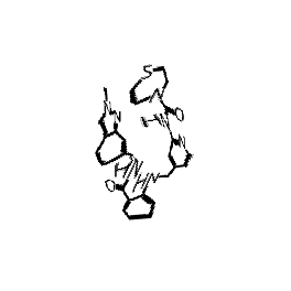 Cn1cc2ccc(NC(=O)c3ccccc3NCc3ccnc(NC(=O)N4CCSCC4)c3)cc2n1